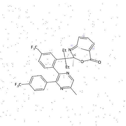 CCC(CC)(c1cc(C(F)(F)F)ccc1-c1ncc(C)nc1-c1ccc(C(F)(F)F)cc1)[C@@]1(C)/N=C/C=C\C=C(/C)C(=O)O1